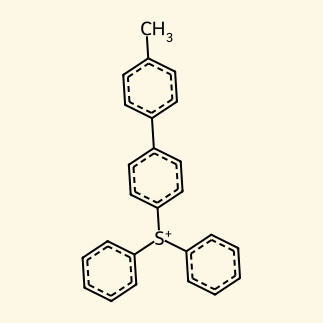 Cc1ccc(-c2ccc([S+](c3ccccc3)c3ccccc3)cc2)cc1